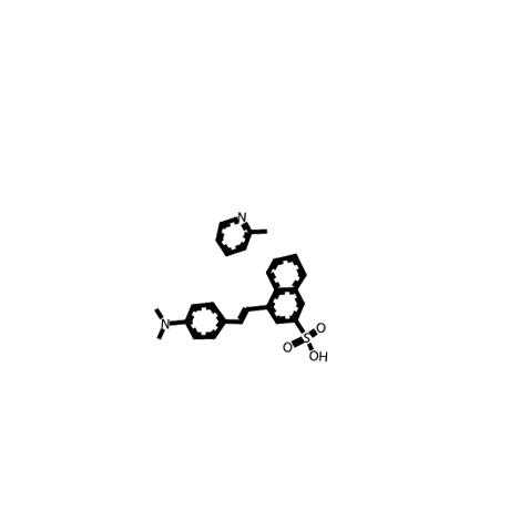 CN(C)c1ccc(C=Cc2cc(S(=O)(=O)O)cc3ccccc23)cc1.Cc1ccccn1